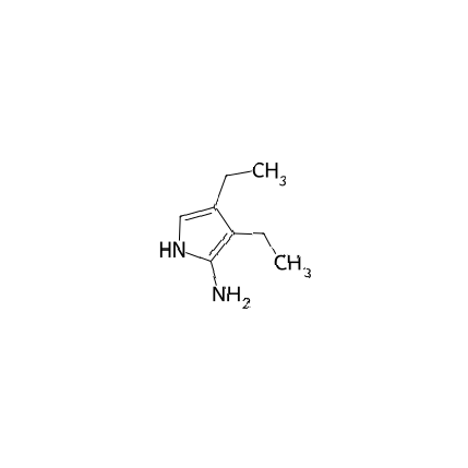 CCc1c[nH]c(N)c1CC